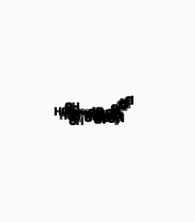 Cc1ncc2c(c1OC(=O)O[C@H]1CO[C@H]3[C@@H]1OC[C@@H]3OC(=O)CCC[C@H](CON(O)O)ON(O)O)CO[C@H]2c1ccc(Cl)cc1